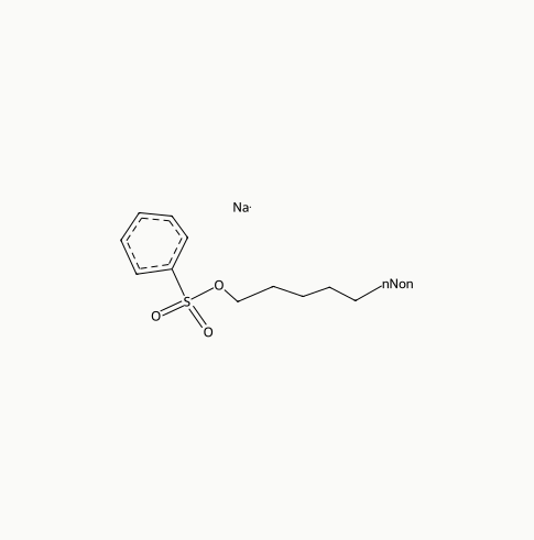 CCCCCCCCCCCCCCOS(=O)(=O)c1ccccc1.[Na]